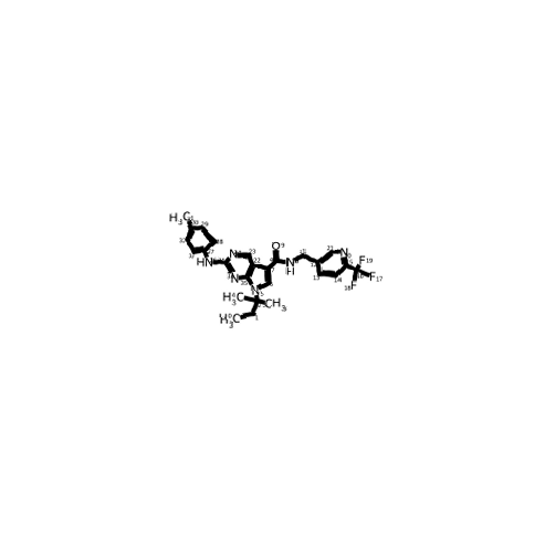 CCC(C)(C)n1cc(C(=O)NCc2ccc(C(F)(F)F)nc2)c2cnc(Nc3ccc(C)cc3)nc21